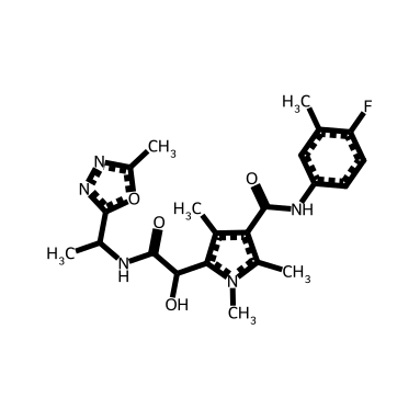 Cc1nnc(C(C)NC(=O)C(O)c2c(C)c(C(=O)Nc3ccc(F)c(C)c3)c(C)n2C)o1